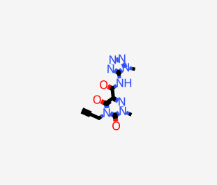 C#CCn1c(=O)c(C(=O)Nc2nnnn2C)nn(C)c1=O